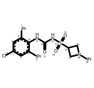 CC(C)c1cc(Cl)cc(C(C)C)c1NC(=O)NS(=O)(=O)C1CN(C(C)C)C1